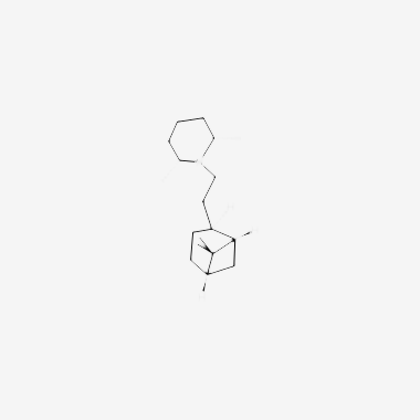 C[C@@H]1CCC[C@H](C)N1CC[C@@H]1CC[C@H]2C[C@@H]1C2(C)C